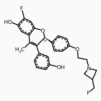 CC1=C(c2cccc(O)c2)[C@H](c2ccc(OCCN3CC(CF)C3)cc2)Oc2cc(F)c(O)cc21